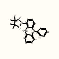 CC1(C)OB(c2cccc3c2Nc2ccccc2N3c2ccccc2)OC1(C)C